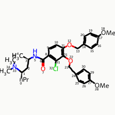 CCC[C@H](C[C@@H](C)NC(=O)c1ccc(OCc2ccc(OC)cc2)c(OCc2ccc(OC)cc2)c1Cl)N(C)C